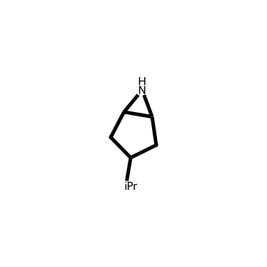 CC(C)C1CC2NC2C1